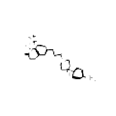 CS(=O)(=O)ON1C(=O)CCc2cc(CCC(O)N3CCC(O)(c4ccc(C(F)(F)F)cc4)CC3)ccc21